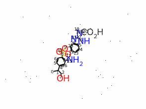 CC(CO)c1ccc(S(=O)(=O)Oc2ccc3[nH]c(N(C)C(=O)O)nc3c2)c(N)c1